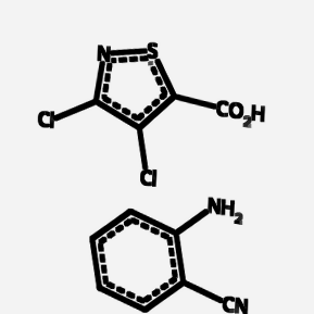 N#Cc1ccccc1N.O=C(O)c1snc(Cl)c1Cl